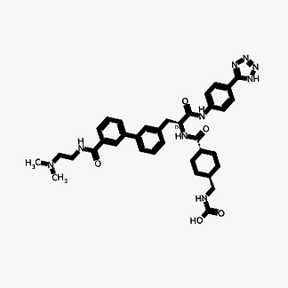 CN(C)CCNC(=O)c1cccc(-c2cccc(C[C@H](NC(=O)[C@H]3CC[C@H](CNC(=O)O)CC3)C(=O)Nc3ccc(-c4nnn[nH]4)cc3)c2)c1